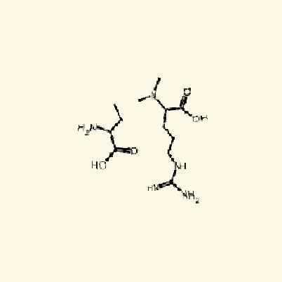 CCC(N)C(=O)O.CN(C)C(CCCNC(=N)N)C(=O)O